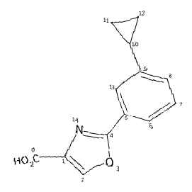 O=C(O)c1coc(-c2cccc(C3CC3)c2)n1